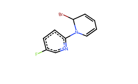 Fc1ccc(N2C=CC=CC2Br)nc1